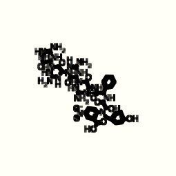 N=C(N)NC(NC(=O)C(NC(=N)N)NC(=O)C(NC(=N)N)NC(=O)C(NC(=N)N)NC(=O)C(NC(=O)C(O)N(Cc1ccc(O)cc1)c1ccc([N+](=O)[O-])cc1C(=O)O)c1ccccc1)C(N)=O